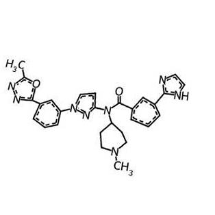 Cc1nnc(-c2cccc(-n3ccc(N(C(=O)c4cccc(-c5ncc[nH]5)c4)C4CCN(C)CC4)n3)c2)o1